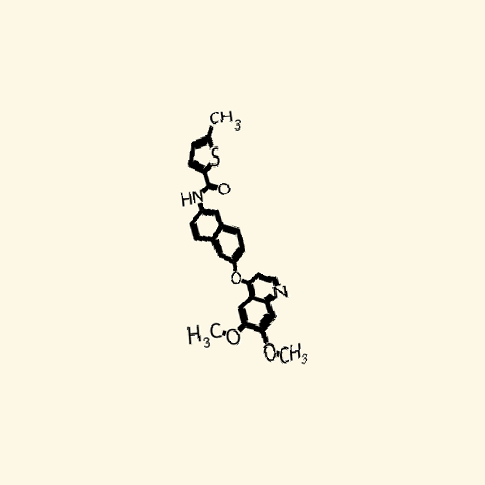 COc1cc2nccc(Oc3ccc4cc(NC(=O)c5ccc(C)s5)ccc4c3)c2cc1OC